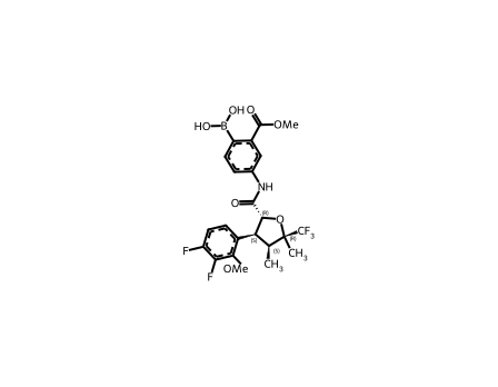 COC(=O)c1cc(NC(=O)[C@@H]2O[C@@](C)(C(F)(F)F)[C@@H](C)[C@H]2c2ccc(F)c(F)c2OC)ccc1B(O)O